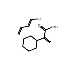 C=C(C(=O)OC)C1CCCCC1.C=CC=CCl